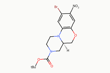 CC(C)(C)OC(=O)N1CCN2c3cc(Br)c([N+](=O)[O-])cc3OC[C@H]2C1